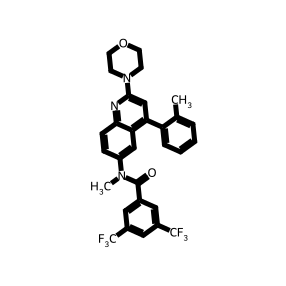 Cc1ccccc1-c1cc(N2CCOCC2)nc2ccc(N(C)C(=O)c3cc(C(F)(F)F)cc(C(F)(F)F)c3)cc12